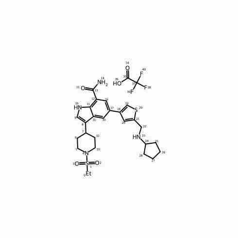 CCS(=O)(=O)N1CCC(c2c[nH]c3c(C(N)=O)cc(-c4csc(CNC5CCCC5)c4)cc23)CC1.O=C(O)C(F)(F)F